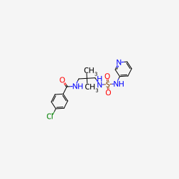 CC(C)(CNC(=O)c1ccc(Cl)cc1)CNS(=O)(=O)Nc1cccnc1